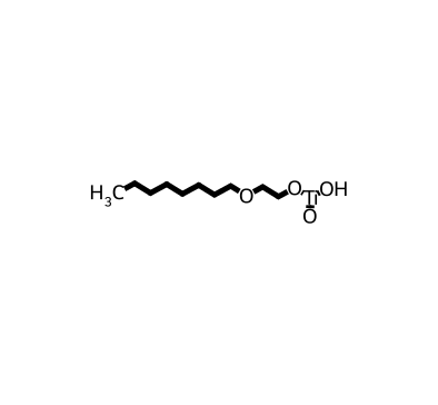 CCCCCCCCOCC[O][Ti](=[O])[OH]